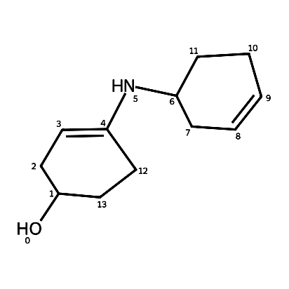 OC1CC=C(NC2CC=CCC2)CC1